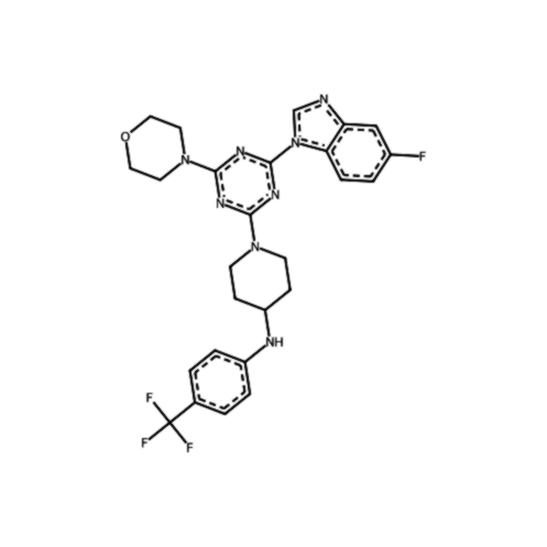 Fc1ccc2c(c1)ncn2-c1nc(N2CCOCC2)nc(N2CCC(Nc3ccc(C(F)(F)F)cc3)CC2)n1